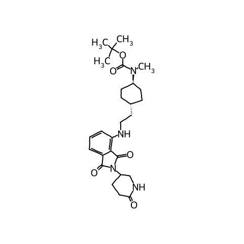 CN(C(=O)OC(C)(C)C)[C@H]1CC[C@H](CCNc2cccc3c2C(=O)N(C2CCC(=O)NC2)C3=O)CC1